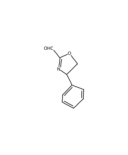 O=CC1=NC(c2ccccc2)CO1